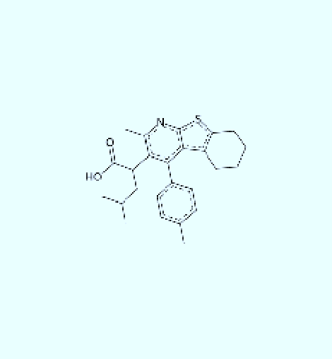 Cc1ccc(-c2c(C(CC(C)C)C(=O)O)c(C)nc3sc4c(c23)CCCC4)cc1